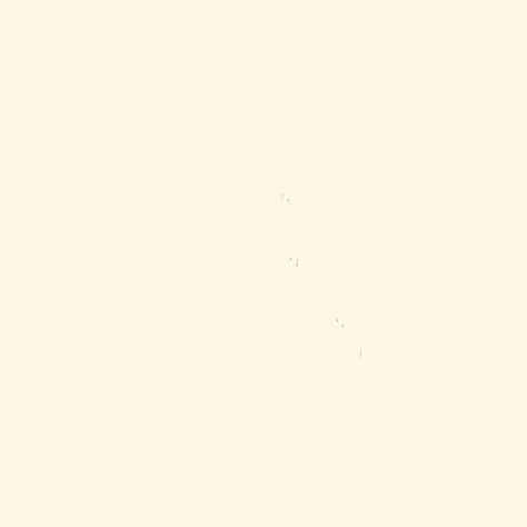 [CH2]CCc1ccnc(N2CCN(CC)CC2)c1